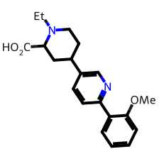 CCN1CCC(c2ccc(-c3ccccc3OC)nc2)CC1C(=O)O